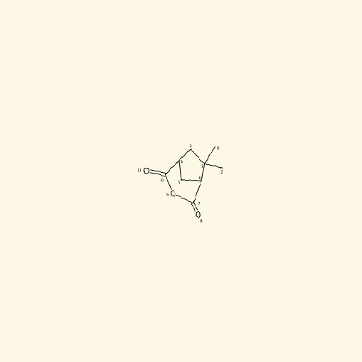 CC1(C)CC2CC1C(=O)OC2=O